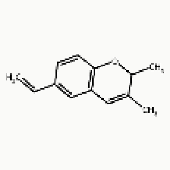 C=Cc1ccc2c(c1)C=C(C)C(C)O2